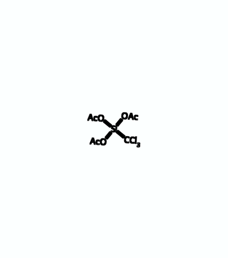 CC(=O)O[Si](OC(C)=O)(OC(C)=O)C(Cl)(Cl)Cl